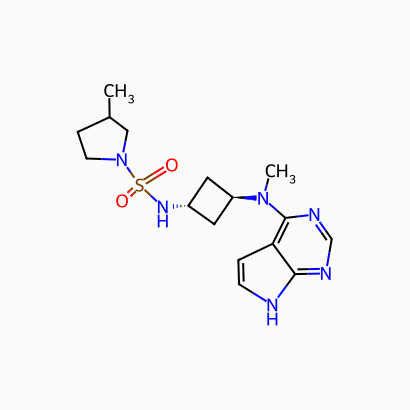 CC1CCN(S(=O)(=O)N[C@H]2C[C@H](N(C)c3ncnc4[nH]ccc34)C2)C1